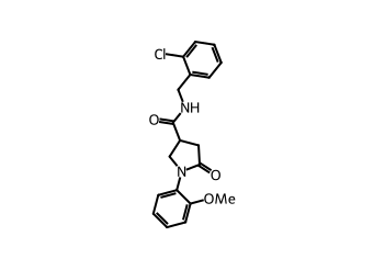 COc1ccccc1N1CC(C(=O)NCc2ccccc2Cl)CC1=O